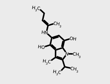 CC/C=C(\C)Nc1cc(O)c2c(c(C)c(C(C)C)n2C)c1O